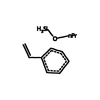 C=Cc1ccccc1.CCCO[SiH3]